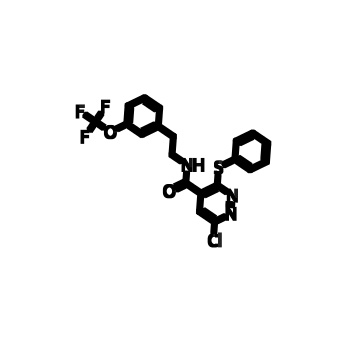 O=C(NCCc1cccc(OC(F)(F)F)c1)c1cc(Cl)nnc1Sc1ccccc1